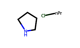 C1CCNC1.CCCCl